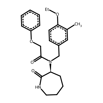 CCOc1ccc(CN(C(=O)COc2ccccc2)[C@H]2CCCCNC2=O)cc1C